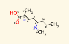 C=NC(C/C=C(\C)C(=O)O)CCC